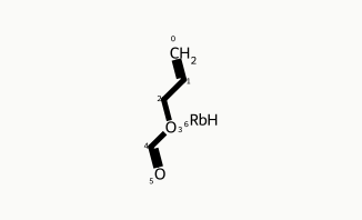 C=CCOC=O.[RbH]